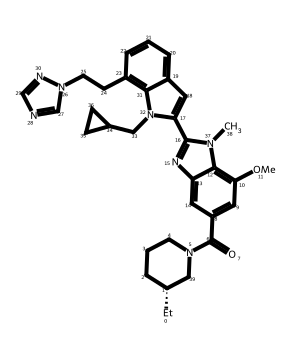 CC[C@@H]1CCCN(C(=O)c2cc(OC)c3c(c2)nc(-c2cc4cccc(CCn5cncn5)c4n2CC2CC2)n3C)C1